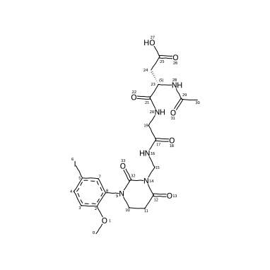 COc1ccc(I)cc1N1CCC(=O)N(CNC(=O)CNC(=O)[C@H](CC(=O)O)NC(C)=O)C1=O